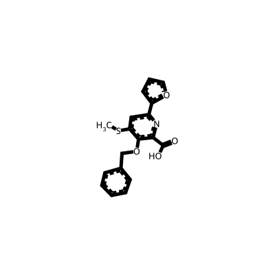 CSc1cc(-c2ccco2)nc(C(=O)O)c1OCc1ccccc1